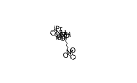 CC(C)c1cccc(C(C)C)c1NC(=O)NS(=O)(=O)CCCCCCN1C(=O)c2ccccc2C1=O